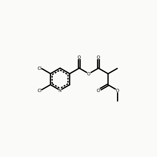 COC(=O)C(C)C(=O)OC(=O)c1cnc(Cl)c(Cl)c1